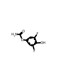 NC(=O)Oc1cc(F)c(O)c(F)c1